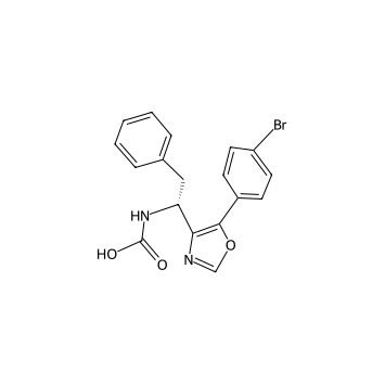 O=C(O)N[C@H](Cc1ccccc1)c1ncoc1-c1ccc(Br)cc1